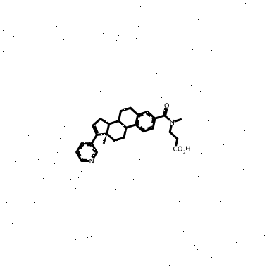 CN(CCC(=O)O)C(=O)c1ccc2c(c1)CCC1C2CC[C@]2(C)C(c3cccnc3)=CCC12